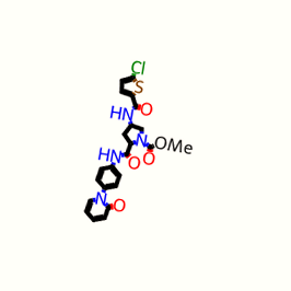 COC(=O)N1CC(NC(=O)c2ccc(Cl)s2)CC1C(=O)Nc1ccc(-n2ccccc2=O)cc1